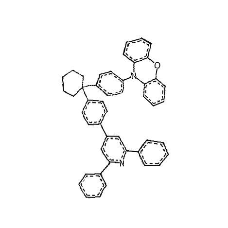 c1ccc(-c2cc(-c3ccc(C4(c5ccc(N6c7ccccc7Oc7ccccc76)cc5)CCCCC4)cc3)cc(-c3ccccc3)n2)cc1